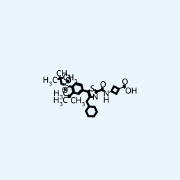 CC(C)(C)CS(=O)(=O)c1ccc(-c2sc(C(=O)N[C@H]3C[C@H](C(=O)O)C3)nc2CC2CCCCC2)cc1C(C)(C)C